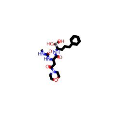 CNC(=O)NC(CC(=O)N1CCOCC1)C(=O)NC(CCCc1ccccc1)B(O)O